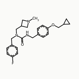 CN1CC(CN(Cc2ccc(F)cc2)C(=O)NCc2ccc(OCC3CC3)cc2)C1